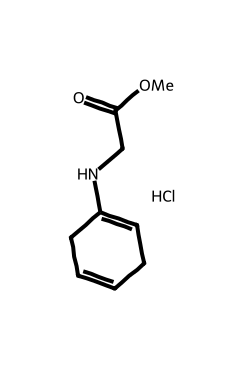 COC(=O)CNC1=CCC=CC1.Cl